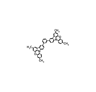 Cc1ccc2c(c1)Oc1cc(C)cc3c4cc(-c5cccc(-c6ccc7c(c6)c6cc(C)cc8c6n7-c6ccc(C)cc6O8)c5)ccc4n-2c13